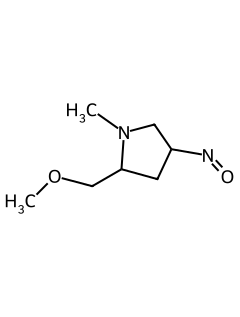 COCC1CC(N=O)CN1C